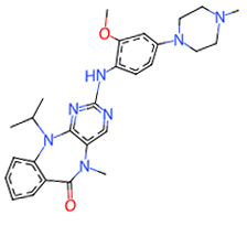 COc1cc(N2CCN(C)CC2)ccc1Nc1ncc2c(n1)N(C(C)C)c1ccccc1C(=O)N2C